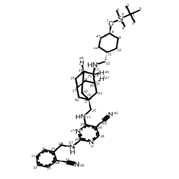 CC(C)(C)[Si](C)(C)O[C@H]1CC[C@H](CN[C@@H]2[C@@H]3CC4C[C@H]2C[C@@](CNc2nc(NCc5ccccc5C#N)ncc2C#N)(C4)C3)CC1